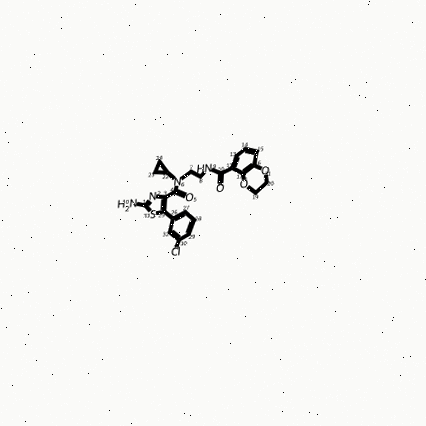 Nc1nc(C(=O)N(CCNC(=O)c2cccc3c2OCCO3)C2CC2)c(-c2cccc(Cl)c2)s1